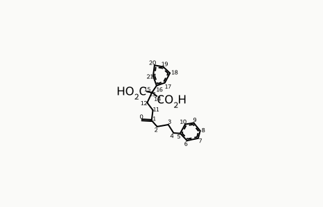 C=C(CCCc1ccccc1)CCC(C(=O)O)(C(=O)O)c1ccccc1